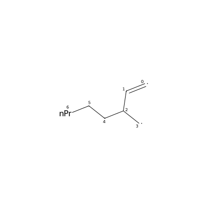 [CH]=CC([CH2])CCCCC